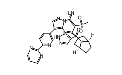 CS(=O)(=O)c1c([C@H]2C[C@H]3CC[C@@H](C2)N3C(=O)c2cn[nH]n2)nc2c(-c3ccc(-c4ncccn4)nc3)cnn2c1N